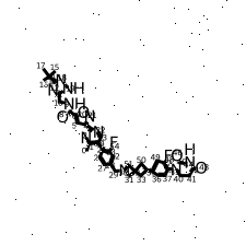 Cc1nc(-c2cc(C(=O)NCc3nc(C(C)(C)C)n[nH]3)on2)ncc1-c1ccc(CN2CC3(CC(c4ccc(N5CCC(=O)NC5=O)c(F)c4)C3)C2)cc1F